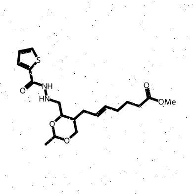 COC(=O)CCCC=CCC1COC(C)OC1CNNC(=O)c1cccs1